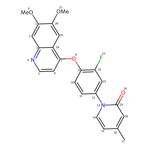 COc1cc2nccc(Oc3ccc(-n4ccc(C)cc4=O)cc3F)c2cc1OC